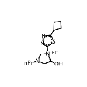 CCCN1CC(O)[N+]([O-])(c2nnc(C3CCC3)s2)C1